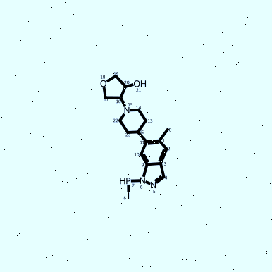 Cc1cc2cnn(PI)c2cc1C1CCN(C2COCC2O)CC1